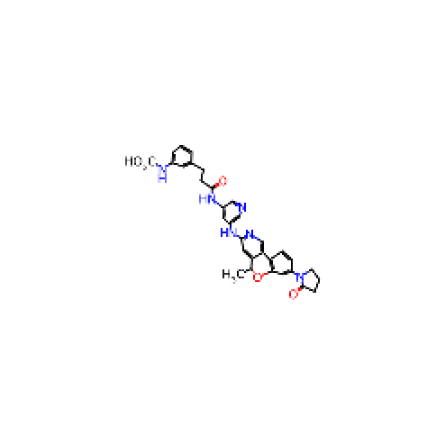 CC1Oc2cc(N3CCCC3=O)ccc2-c2cnc(Nc3cncc(NC(=O)CCc4cccc(NC(=O)O)c4)c3)cc21